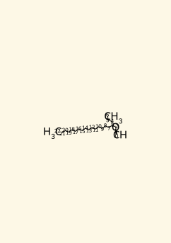 C#COC(CCC)CCCCCCCCCCCCCCCC